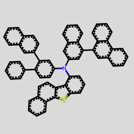 c1ccc(-c2ccc(N(c3cc(-c4cc5ccccc5c5ccccc45)c4ccccc4c3)c3cccc4sc5c6ccccc6ccc5c34)cc2-c2ccc3ccccc3c2)cc1